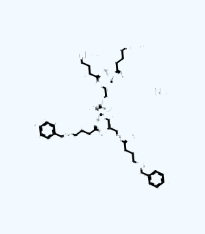 CCCCCCCCCCCCCC(=O)OC[C@H](COP(=O)([O-])OCC(COC(=O)CCCOCc1ccccc1)OC(=O)CCCOCc1ccccc1)OC(=O)CCCCCCCCCCCCC.[Na+]